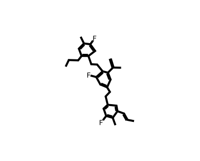 C=C(C)c1cc(CCc2cc(F)c(C)c(/C=C/C)c2)cc(F)c1CCc1cc(F)c(C)cc1CCC